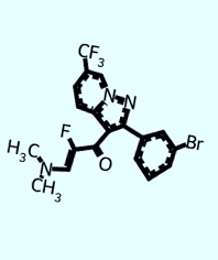 CN(C)C=C(F)C(=O)c1c(-c2cccc(Br)c2)nn2cc(C(F)(F)F)ccc12